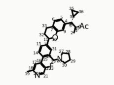 CC(=O)[C@@H](C)[C@H](c1ccc2c(c1)OC(c1ccc(-c3cc(C)ncc3F)c(CN3CCCC3)c1)CC2)C1CC1